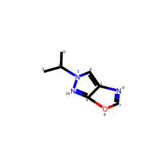 CC(C)n1cc2ncoc2n1